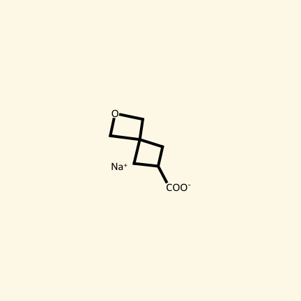 O=C([O-])C1CC2(COC2)C1.[Na+]